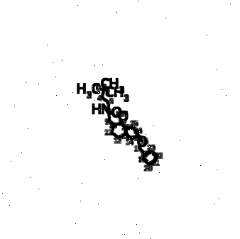 CC(C)(C)CCNC(=O)CC1CCc2cc(OCc3ccccc3)ccc2C1=O